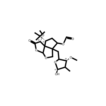 CO[C@H]1C(CC23COC4OC(=O)[C@H](OC)C42[C@H](C(C)(C)C)CC3OC=O)O[C@H](O)C1C